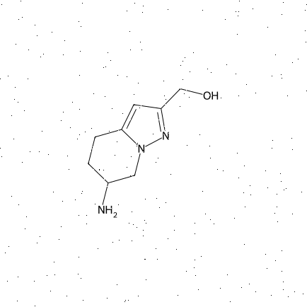 NC1CCc2cc(CO)nn2C1